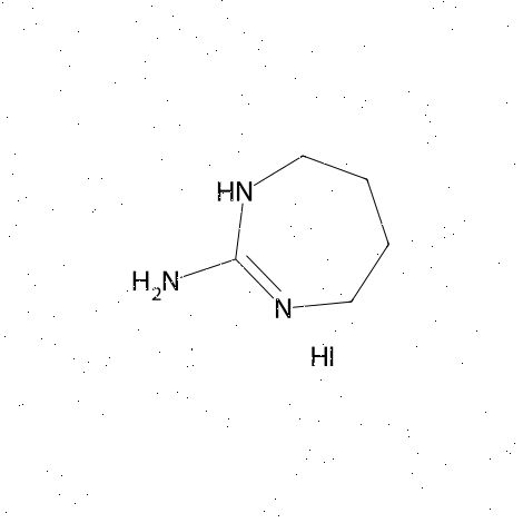 I.NC1=NCCCCN1